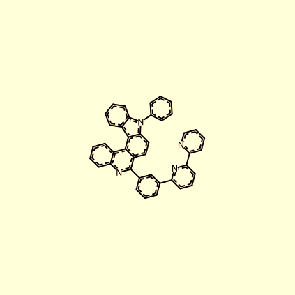 c1ccc(-n2c3ccccc3c3c4c(ccc32)c(-c2cccc(-c3cccc(-c5ccccn5)n3)c2)nc2ccccc24)cc1